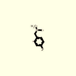 CN(I)Cc1ccc(F)cc1